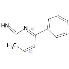 C/C=C\C(=N/C=N)c1ccccc1